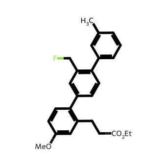 CCOC(=O)CCc1cc(OC)ccc1-c1ccc(-c2cccc(C)c2)c(CF)c1